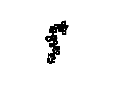 O=C(CNC(=O)Oc1sc(C2=NO[C@@](c3cc(Cl)c(F)c(Cl)c3)(C(F)(F)F)C2)c2c1CCC2)NCC(F)(F)F